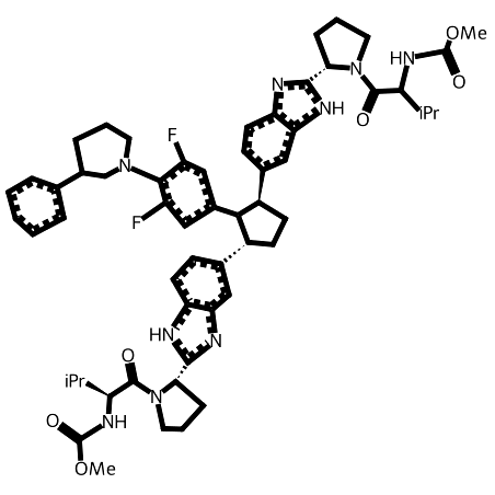 COC(=O)NC(C(=O)N1CCC[C@H]1c1nc2ccc([C@H]3CC[C@H](c4ccc5[nH]c([C@@H]6CCCN6C(=O)[C@@H](NC(=O)OC)C(C)C)nc5c4)C3c3cc(F)c(N4CCCC(c5ccccc5)C4)c(F)c3)cc2[nH]1)C(C)C